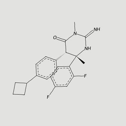 CN1C(=N)N[C@](C)(c2ccc(F)cc2F)[C@H](c2ccc(C3CCC3)cc2)C1=O